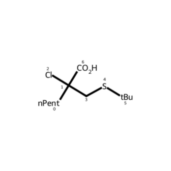 CCCCCC(Cl)(CSC(C)(C)C)C(=O)O